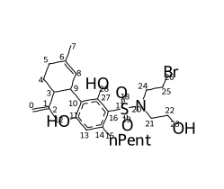 C=C(C)C1CCC(C)=CC1c1c(O)cc(CCCCC)c(S(=O)(=O)N(CCO)CCBr)c1O